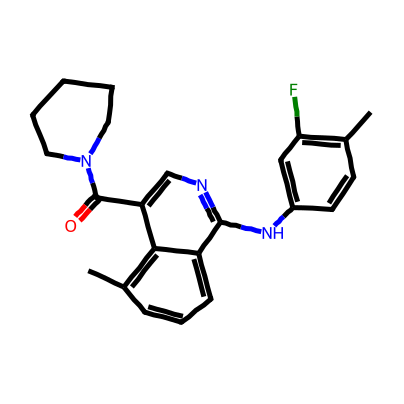 Cc1ccc(Nc2ncc(C(=O)N3CCCCC3)c3c(C)cccc23)cc1F